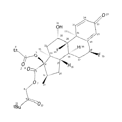 CCC(=O)O[C@]1(C(=O)OCC(=O)C(C)(C)C)[C@H](C)C[C@H]2[C@@H]3C[C@H](F)C4=CC(=O)C=C[C@]4(C)[C@@]3(F)[C@@H](O)C[C@@]21C